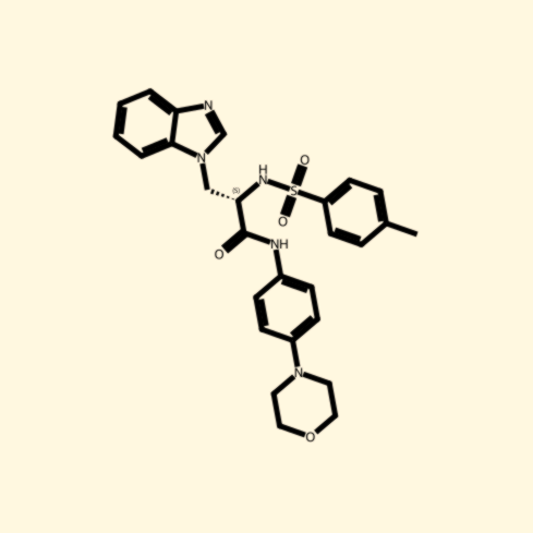 Cc1ccc(S(=O)(=O)N[C@@H](Cn2cnc3ccccc32)C(=O)Nc2ccc(N3CCOCC3)cc2)cc1